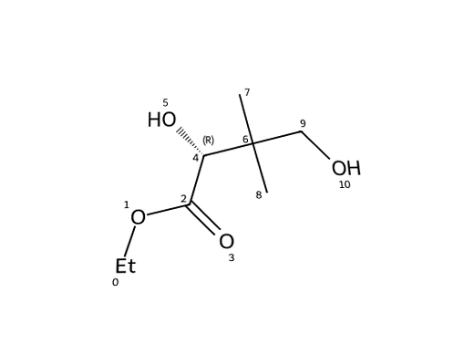 CCOC(=O)[C@H](O)C(C)(C)CO